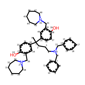 CC(CCCN(Cc1ccccc1)Cc1ccccc1)(c1ccc(O)c(CN2CCCCCC2)c1)c1ccc(O)c(CN2CCCCCC2)c1